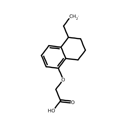 [CH2]CC1CCCc2c(OCC(=O)O)cccc21